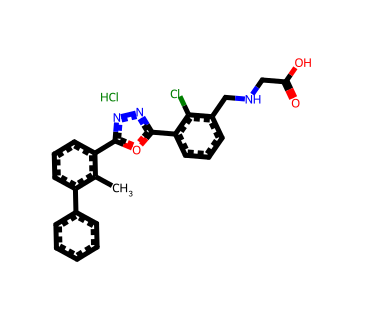 Cc1c(-c2ccccc2)cccc1-c1nnc(-c2cccc(CNCC(=O)O)c2Cl)o1.Cl